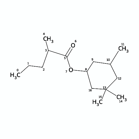 CCCC(C)C(=O)OC1CC(C)CC(C)(C)C1